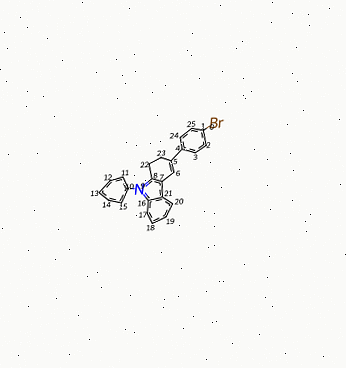 Brc1ccc(C2=Cc3c(n(-c4ccccc4)c4ccccc34)CC2)cc1